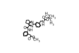 COC(=O)Cc1ccccc1NC(=O)c1nc(-c2cccc(CNC(=O)OC(C)(C)C)c2)nc2c1CCC2